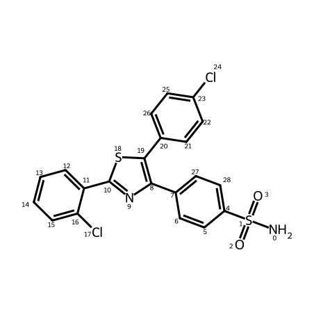 NS(=O)(=O)c1ccc(-c2nc(-c3ccccc3Cl)sc2-c2ccc(Cl)cc2)cc1